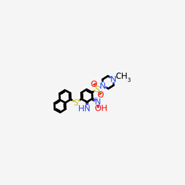 CN1CCN(S(=O)(=O)C2=CC=C(Sc3cccc4ccccc34)C(=N)/C2=N\O)CC1